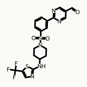 O=Cc1cnc(-c2cccc(S(=O)(=O)N3CCC(Nc4ncc(C(F)(F)F)s4)CC3)c2)nc1